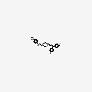 Fc1ccc(C(CCCN2CCN(CCSc3ccc(Cl)cc3)CC2)c2ccc(F)cc2)cc1